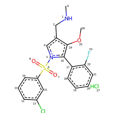 CNCc1cn(S(=O)(=O)c2cccc(Cl)c2)c(-c2ccccc2F)c1OC.Cl